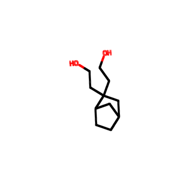 OCCC1(CCO)CC2CCC1C2